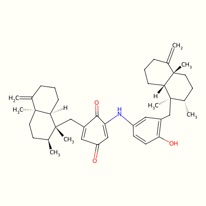 C=C1CCC[C@H]2[C@](C)(CC3=CC(=O)C=C(Nc4ccc(O)c(C[C@]5(C)[C@@H](C)CC[C@@]6(C)C(=C)CCC[C@@H]56)c4)C3=O)[C@@H](C)CC[C@@]12C